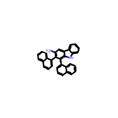 Nc1cc2c([nH]c3ccccc32)c(-c2cccc3ccccc23)c1-c1cccc2ccccc12